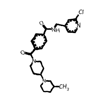 CC1CCCN(C2CCN(C(=O)c3ccc(C(=O)NCc4ccnc(Cl)c4)cc3)CC2)C1